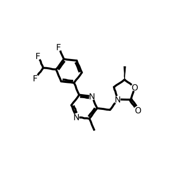 Cc1ncc(-c2ccc(F)c(C(F)F)c2)nc1CN1C[C@@H](C)OC1=O